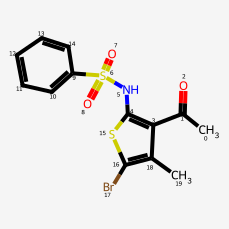 CC(=O)c1c(NS(=O)(=O)c2ccccc2)sc(Br)c1C